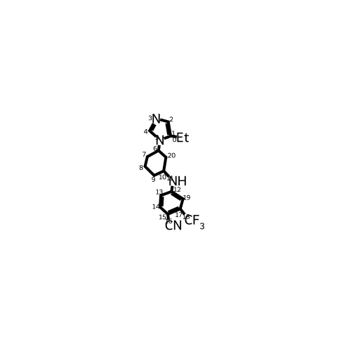 CCc1cncn1C1CCCC(Nc2ccc(C#N)c(C(F)(F)F)c2)C1